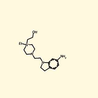 CC[N+]1(CCO)CCN(CCN2CCc3ccc(N)cc32)CC1